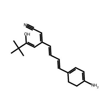 CC(C)(C)/C(O)=C/C(=C\C#N)/C=C/C=C/C1=CC=C(N)CC1